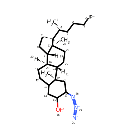 CC(C)CCC[C@@H](C)[C@H]1CC[C@H]2[C@@H]3CCC4CC(O)C(N=[N+]=[N-])C[C@]4(C)[C@H]3CC[C@]12C